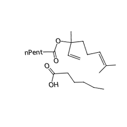 C=CC(C)(CCC=C(C)C)OC(=O)CCCCC.CCCCCC(=O)O